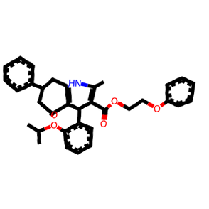 CC1=C(C(=O)OCCOc2ccccc2)C(c2ccccc2OC(C)C)C2=C(CC(c3ccccc3)CC2=O)N1